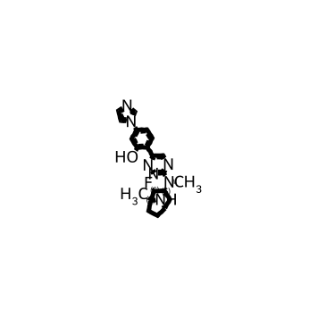 CN(c1ncc(-c2ccc(-n3ccnc3)cc2O)nn1)[C@H]1CC2CC[C@@](C)(N2)[C@H]1F